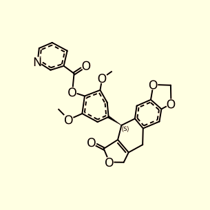 COc1cc([C@@H]2C3=C(COC3=O)Cc3cc4c(cc32)OCO4)cc(OC)c1OC(=O)c1cccnc1